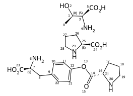 C[C@@H](O)[C@H](N)C(=O)O.N[C@@H](Cc1ccc(OC(=O)[C@@H]2CCCN2)cc1)C(=O)O.O=C(O)[C@@H]1CCCN1